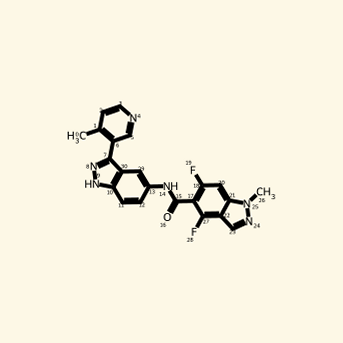 Cc1ccncc1-c1n[nH]c2ccc(NC(=O)c3c(F)cc4c(cnn4C)c3F)cc12